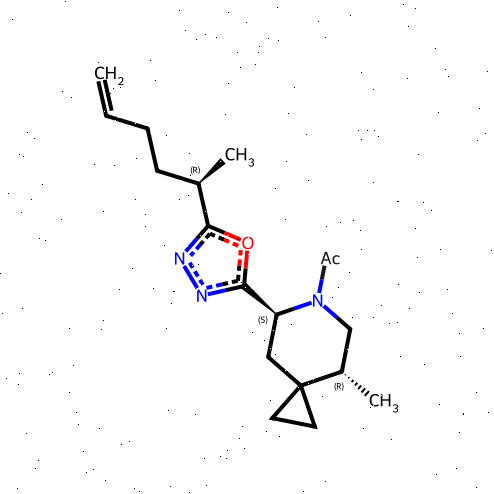 C=CCC[C@@H](C)c1nnc([C@@H]2CC3(CC3)[C@@H](C)CN2C(C)=O)o1